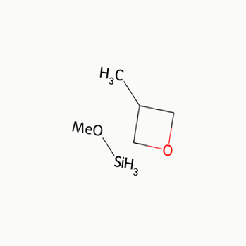 CC1COC1.CO[SiH3]